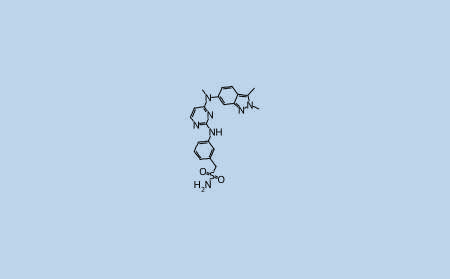 Cc1c2ccc(N(C)c3ccnc(Nc4cccc(CS(N)(=O)=O)c4)n3)cc2nn1C